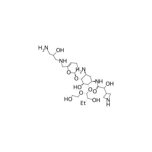 CC[C@@H](O)[C@H](OCCO)O[C@@H]1[C@@H](O)[C@H](O[C@@H]2CCC=C(CNCC(O)CN)O2)[C@@H](N)C[C@H]1NC(=O)C(O)C1CNC1